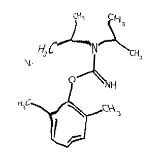 Cc1cccc(C)c1OC(=N)N(C(C)C)C(C)C.[V]